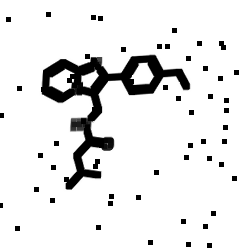 CCc1ccc(-c2nc3ccccn3c2CNC(=O)CC(C)C)cc1